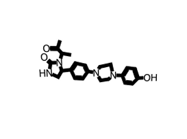 CC(=O)C(C)N1C(=O)NCC1c1ccc(N2CCN(c3ccc(O)cc3)CC2)cc1